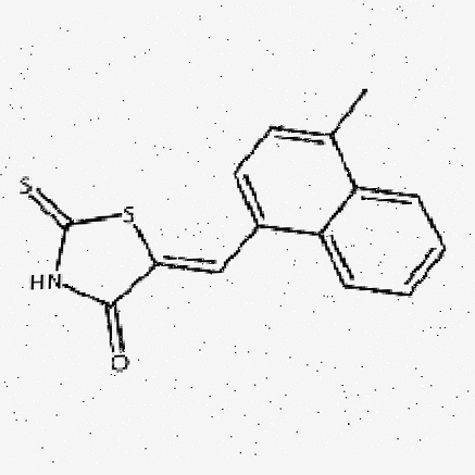 Cc1ccc(/C=C2\SC(=S)NC2=O)c2ccccc12